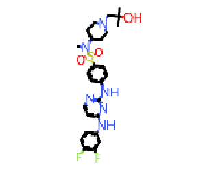 CN(C1CCN(CC(C)(C)O)CC1)S(=O)(=O)c1ccc(Nc2nccc(Nc3ccc(F)c(F)c3)n2)cc1